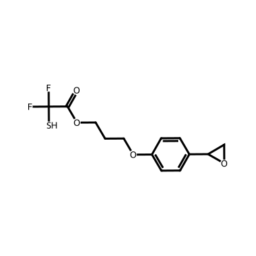 O=C(OCCCOc1ccc(C2CO2)cc1)C(F)(F)S